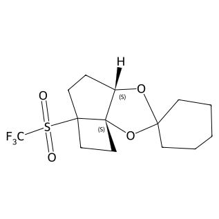 O=S(=O)(C(F)(F)F)C12CC[C@@H]3OC4(CCCCC4)O[C@@]31CC2